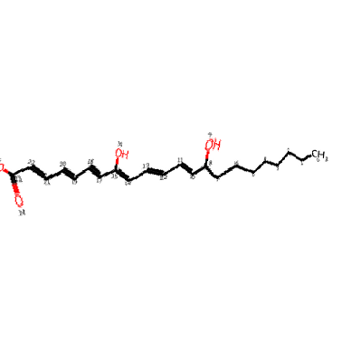 CCCCCCCCC(O)C=CC=CC=C(O)C=CC=CC=CC(=O)O